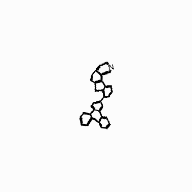 c1cc(-c2ccc3c4ccccc4c4ccccc4c3c2)c2c(c1)-c1c(ccc3ccncc13)C2